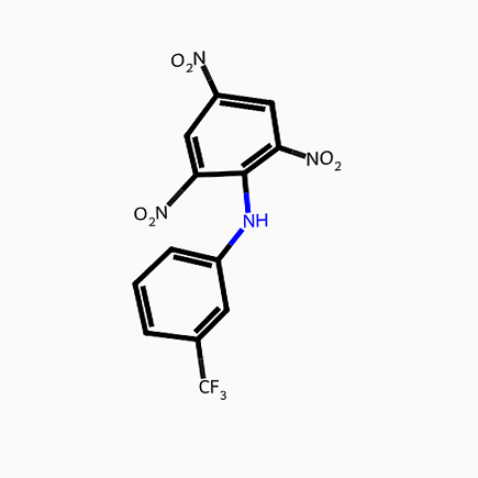 O=[N+]([O-])c1cc([N+](=O)[O-])c(Nc2cccc(C(F)(F)F)c2)c([N+](=O)[O-])c1